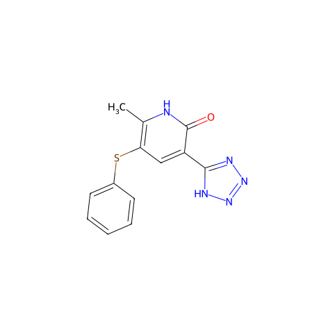 Cc1[nH]c(=O)c(-c2nnn[nH]2)cc1Sc1ccccc1